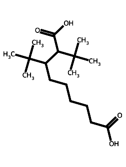 CC(C)(C)C(CCCCCC(=O)O)C(C(=O)O)C(C)(C)C